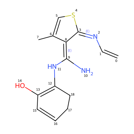 C=C/N=C1/SC=C(C)/C1=C(/N)NC1=C(O)C=CCC1